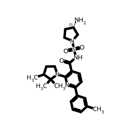 Cc1cccc(-c2ccc(C(=O)NS(=O)(=O)N3CC[C@H](N)C3)c(N3CCC(C)C3(C)C)n2)c1